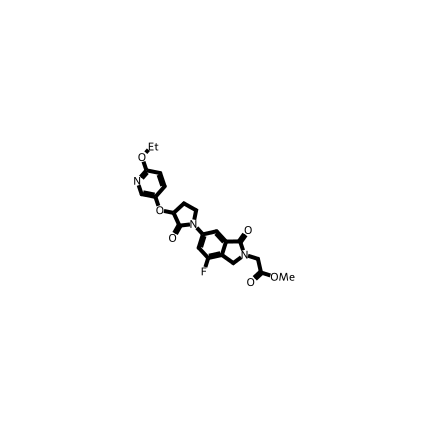 CCOc1ccc(OC2CCN(c3cc(F)c4c(c3)C(=O)N(CC(=O)OC)C4)C2=O)cn1